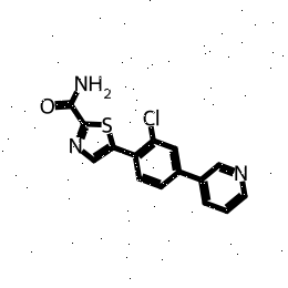 NC(=O)c1ncc(-c2ccc(-c3cccnc3)cc2Cl)s1